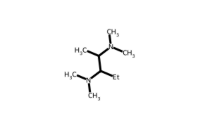 CC[C](C(C)N(C)C)N(C)C